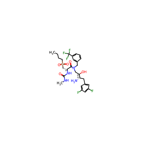 CCCCS(=O)(=O)C[C@@H](NC(=O)NC)C(=O)N(Cc1cccc(C(F)(F)F)c1)C[C@@H](O)[C@@H](N)Cc1cc(F)cc(F)c1